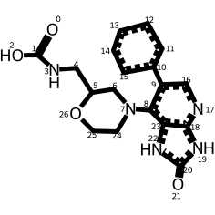 O=C(O)NCC1CN(c2c(-c3ccccc3)cnc3[nH]c(=O)[nH]c23)CCO1